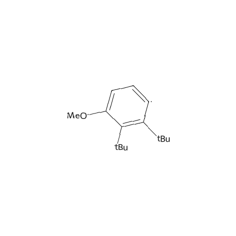 COc1cc[c]c(C(C)(C)C)c1C(C)(C)C